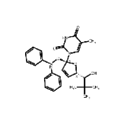 Cc1cn([C@@]2(O[SiH](c3ccccc3)c3ccccc3)C=C[C@@H](C(O)C(C)(C)C)O2)c(=O)[nH]c1=O